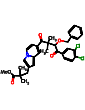 COC(=O)C(C)(C)Cc1cc2cc(C(=O)C(C)(C)C(OCc3ccccc3)C(=O)c3ccc(Cl)c(Cl)c3)ccn2c1